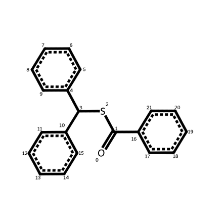 O=C(SC(c1ccccc1)c1ccccc1)c1ccccc1